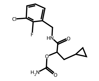 NC(=O)OC(CC1CC1)C(=O)NCc1cccc(Cl)c1F